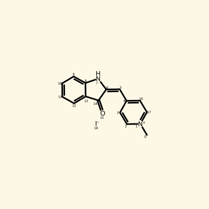 C[n+]1ccc(C=C2Nc3ccccc3C2=O)cc1.[I-]